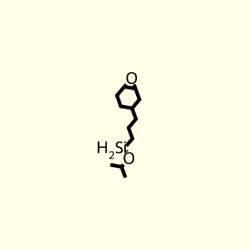 CC(C)O[SiH2]CCCC1CCC2OC2C1